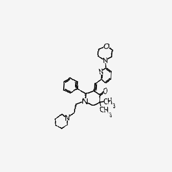 CC1(C)CN(CCN2CCCCC2)C(c2ccccc2)C(=Cc2cccc(N3CCOCC3)n2)C1=O